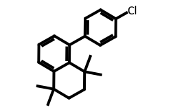 CC1(C)CCC(C)(C)c2c(-c3ccc(Cl)cc3)cccc21